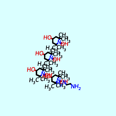 CC1(C)CC(O)CC(C)(C)N1O.CC1(C)CC(O)CC(C)(C)N1O.CC1(C)CC(O)CC(C)(C)N1O.CC1(C)CC(O)CC(C)(C)N1O.NCCN